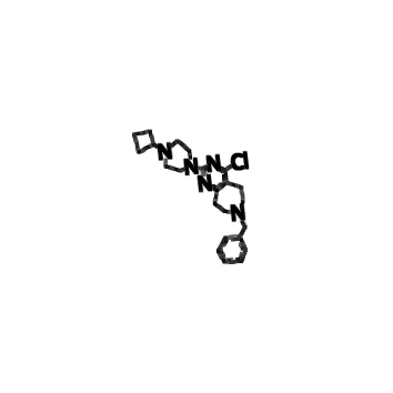 Clc1nc(N2CCN(C3CCC3)CC2)nc2c1CCN(Cc1ccccc1)CC2